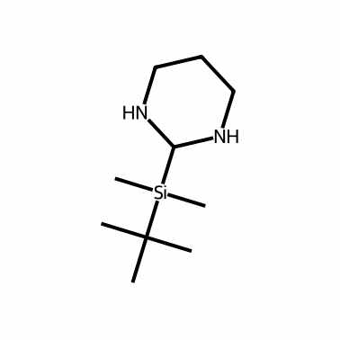 CC(C)(C)[Si](C)(C)C1NCCCN1